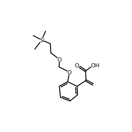 C=C(C(=O)O)c1ccccc1OCOCC[Si](C)(C)C